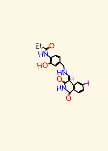 CCC(=O)Nc1ccc(CN/C=C2\C(=O)NC(=O)c3ccc(I)cc32)cc1O